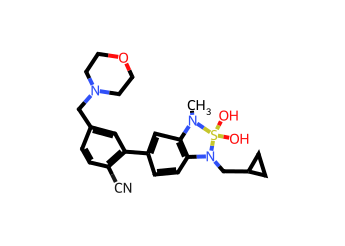 CN1c2cc(-c3cc(CN4CCOCC4)ccc3C#N)ccc2N(CC2CC2)S1(O)O